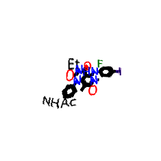 CCn1c(=O)c2c(Nc3ccc(I)cc3F)n(C)c(=O)c(C)c2n(-c2cccc(NC(C)=O)c2)c1=O